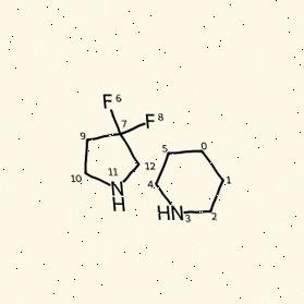 C1CCNCC1.FC1(F)CCNC1